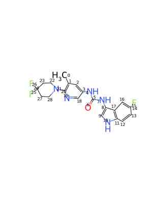 Cc1cc(NC(=O)Nc2c[nH]c3ccc(F)cc23)cnc1N1CCC(F)(F)CC1